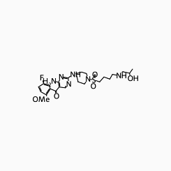 COc1ccc(F)cc1C(=O)c1cnc(NC2CCN(S(=O)(=O)CCCCNCC(C)O)CC2)nc1N